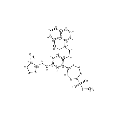 C=CS(=O)(=O)C1CCCN(c2nc(OC[C@@H]3CCCN3C)nc3c2CCN(c2cccc4cccc(Cl)c24)C3)CC1